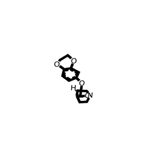 c1cc2c(cc1O[C@H]1CN3CCC1CC3)OCCO2